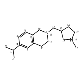 CC(C)c1ccc2c(c1)CCN(CC1CCN(C)C1)C2